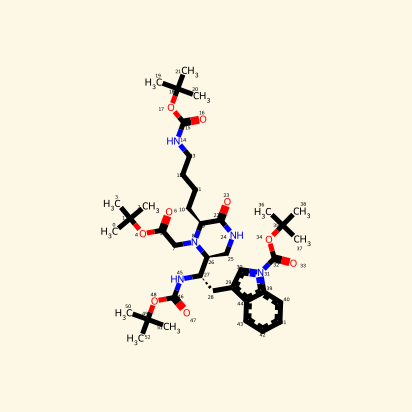 CC(C)(C)OC(=O)CN1[C@@H](CCCCNC(=O)OC(C)(C)C)C(=O)NC[C@H]1[C@H](Cc1cn(C(=O)OC(C)(C)C)c2ccccc12)NC(=O)OC(C)(C)C